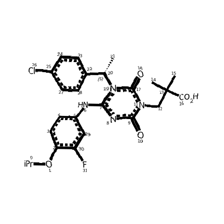 CC(C)Oc1ccc(Nc2nc(=O)n(CC(C)(C)C(=O)O)c(=O)n2[C@@H](C)c2ccc(Cl)cc2)cc1F